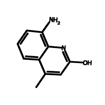 Cc1cc(O)nc2c(N)cccc12